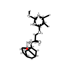 CSc1nc(C)c(C)c(OCC(=O)NC23CC4CC(CC(C4)C2)C3)n1